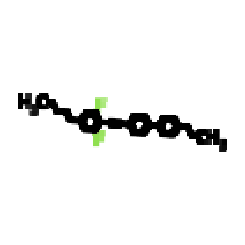 CCCCCc1cc(F)c(C#Cc2ccc(-c3ccc(CCC)cc3)cc2)c(F)c1